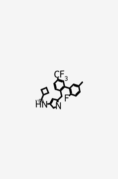 Cc1ccc(F)c(-c2cc(C(F)(F)F)ccc2CC2=NCC(N[C@H](C)C3CCC3)=C2)c1